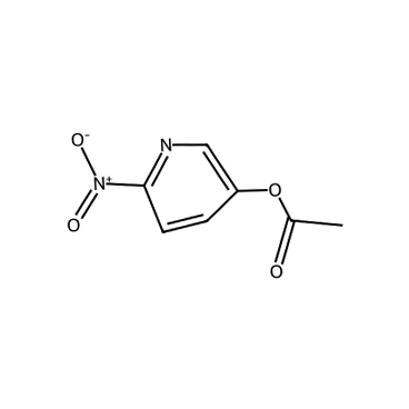 CC(=O)Oc1ccc([N+](=O)[O-])nc1